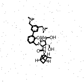 COc1c(CN2O[C@@H](CO)[C@H]([C@H](C)O)[C@H]2C(=O)NC2C[C@H]3C[C@@H]([C@@H]2C)C3(C)C)cccc1-c1cc(CN(C)C)cc(CN(C)C)c1